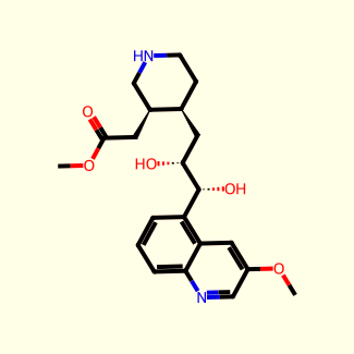 COC(=O)C[C@H]1CNCC[C@H]1C[C@@H](O)[C@H](O)c1cccc2ncc(OC)cc12